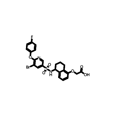 O=C(O)COc1cccc2c1CCCC2NS(=O)(=O)c1cnc(Oc2ccc(F)cc2)c(Br)c1